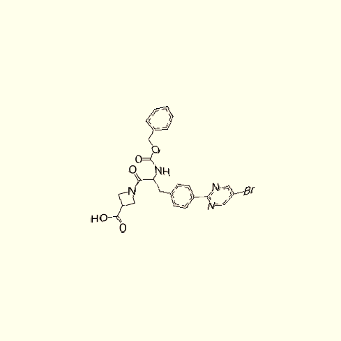 O=C(NC(Cc1ccc(-c2ncc(Br)cn2)cc1)C(=O)N1CC(C(=O)O)C1)OCc1ccccc1